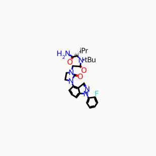 CC(C)[C@@H](C(N)=O)N(C(=O)CN1CCN(c2cccc3c2cnn3-c2ccccc2F)C1=O)C(C)(C)C